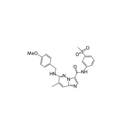 COc1ccc(CNc2nn3c(C(=O)Nc4cccc(S(C)(=O)=O)c4)cnc3cc2C)cc1